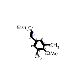 CCOC(=O)/C=C/c1cc(C)c(OC)c(C(F)(F)F)c1